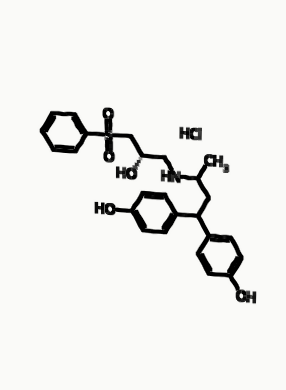 CC(CC(c1ccc(O)cc1)c1ccc(O)cc1)NC[C@H](O)CS(=O)(=O)c1ccccc1.Cl